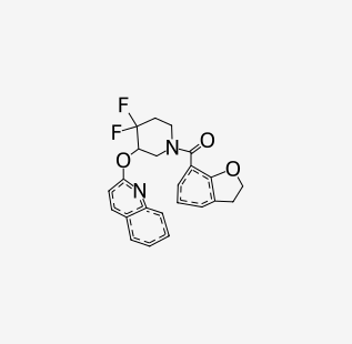 O=C(c1cccc2c1OCC2)N1CCC(F)(F)C(Oc2ccc3ccccc3n2)C1